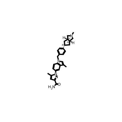 Cc1cn(Cc2ccc([C@@H]3C[C@@H]4CN(C)C[C@@H]4C3)cc2)c2ccc(-n3nc(C(N)=O)cc3C)cc12